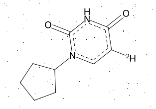 [2H]c1cn(C2CCCC2)c(=O)[nH]c1=O